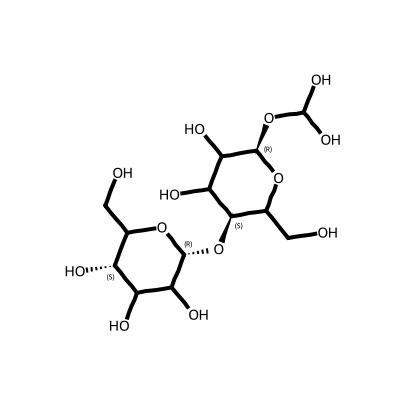 OCC1O[C@H](O[C@@H]2C(CO)O[C@H](OC(O)O)C(O)C2O)C(O)C(O)[C@@H]1O